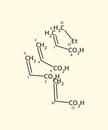 C=CC(=O)O.C=CC(=O)O.C=CC(=O)O.C=CC(=O)O.CCC